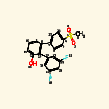 CS(=O)(=O)c1ccc(-c2[c]ccc(O)c2-c2cc(F)cc(F)c2)cc1